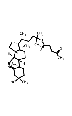 CC(=O)CCC(=O)OC(C)(C)CC[C@@H](C)[C@H]1CC[C@H]2[C@@H]3CC=C4C[C@@](C)(O)CC[C@]4(C)[C@H]3CC[C@]12C